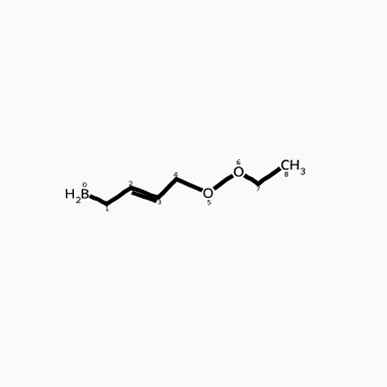 BC/C=C/COOCC